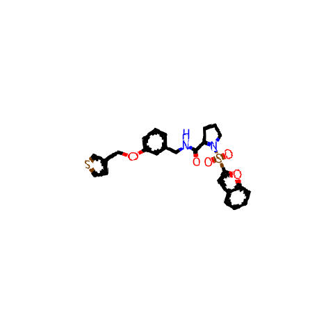 O=C(NCc1cccc(OCc2ccsc2)c1)C1CCCN1S(=O)(=O)c1cc2ccccc2o1